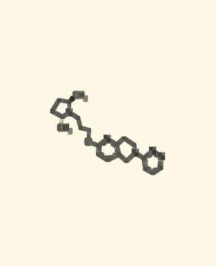 C[C@@H]1CC[C@@H](C)N1CCCOc1ccc2c(n1)CCN(c1cccnn1)C2